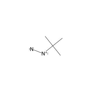 CC(C)(C)[N+][N]